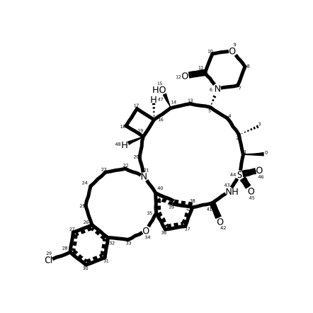 C[C@@H]1[C@@H](C)C[C@@H](N2CCOCC2=O)C[C@H](O)[C@@H]2CC[C@H]2CN2CCCCc3cc(Cl)ccc3COc3ccc(cc32)C(=O)NS1(=O)=O